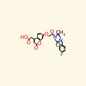 C[C@@H]1CN(Cc2ccc(F)cc2)[C@@H](C)CN1C(=O)COc1ccc2c(CC(=O)O)cc(=O)oc2c1